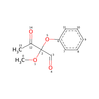 COC([C]=O)(Oc1ccccc1)C(C)=O